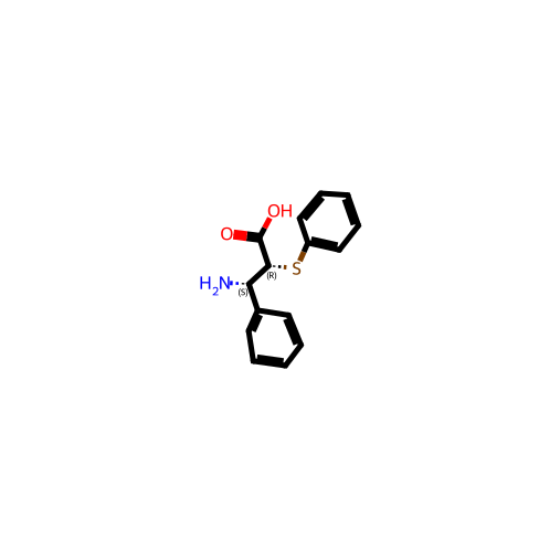 N[C@@H](c1ccccc1)[C@@H](Sc1ccccc1)C(=O)O